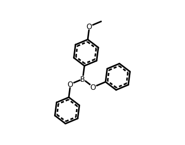 COc1ccc(B(Oc2ccccc2)Oc2ccccc2)cc1